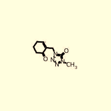 Cn1nnn(CC2=[C]CCCC2=O)c1=O